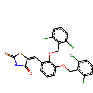 O=C1NC(=S)SC1=Cc1cccc(OCc2c(F)cccc2Cl)c1OCc1c(F)cccc1Cl